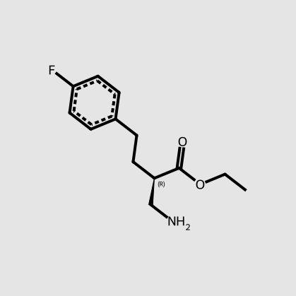 CCOC(=O)[C@@H](CN)CCc1ccc(F)cc1